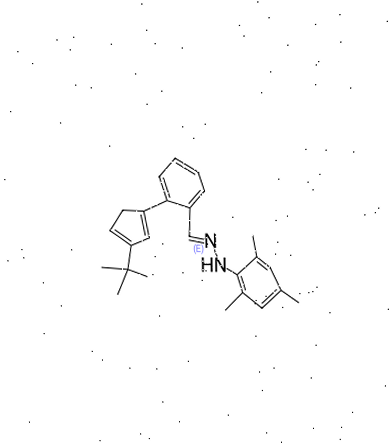 Cc1cc(C)c(N/N=C/c2ccccc2C2=CC(C(C)(C)C)=CC2)c(C)c1